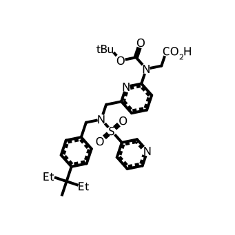 CCC(C)(CC)c1ccc(CN(Cc2cccc(N(CC(=O)O)C(=O)OC(C)(C)C)n2)S(=O)(=O)c2cccnc2)cc1